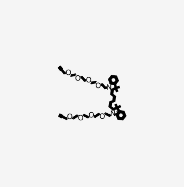 C#CCOCCOCCOCCOCCN1/C(=C/C=C\C=C/C2=[N+](CCOCCOCCOCCOCC#C)c3ccccc3C2(C)C)C(C)(C)c2ccccc21